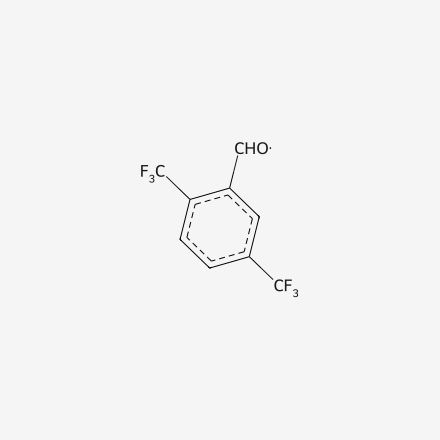 O=[C]c1cc(C(F)(F)F)ccc1C(F)(F)F